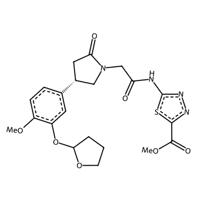 COC(=O)c1nnc(NC(=O)CN2C[C@H](c3ccc(OC)c(OC4CCCO4)c3)CC2=O)s1